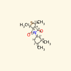 Cc1ccc(N2C(=O)c3c(C)sc(C)c3C2=O)cc1C